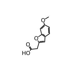 COc1ccc2cc(CC(=O)O)oc2c1